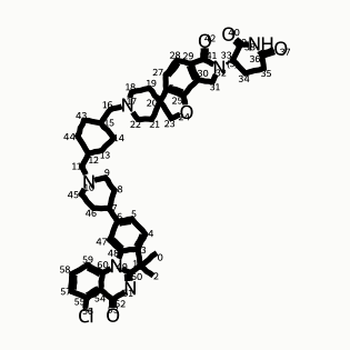 CC1(C)c2ccc(C3CCN(CC4CCC(CN5CCC6(CC5)COc5c6ccc6c5CN([C@H]5CCC(=O)NC5=O)C6=O)CC4)CC3)cc2-n2c1nc(=O)c1c(Cl)cccc12